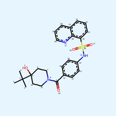 CC(C)(C)C1(O)CCN(C(=O)c2ccc(NS(=O)(=O)c3cccc4cccnc34)cc2)CC1